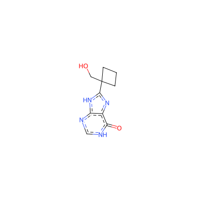 O=c1[nH]cnc2[nH]c(C3(CO)CCC3)nc12